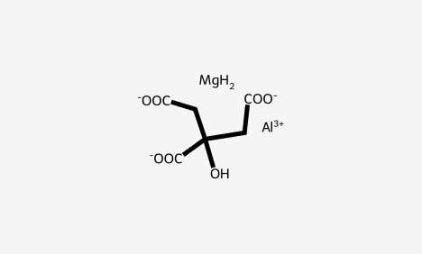 O=C([O-])CC(O)(CC(=O)[O-])C(=O)[O-].[Al+3].[MgH2]